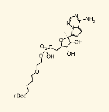 CCCCCCCCCCCCCCOCCOP(=O)(O)OC[C@H]1O[C@@](C)(c2ccc3c(N)ncnn23)[C@H](O)[C@@H]1O